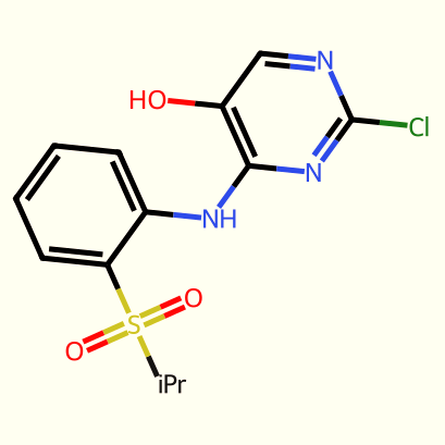 CC(C)S(=O)(=O)c1ccccc1Nc1nc(Cl)ncc1O